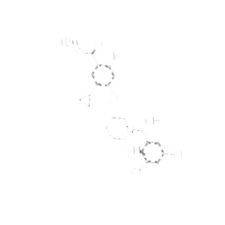 C[C@@H]1CC[C@H](COc2cc(F)c(C(=O)OC(C)(C)C)cc2C2CC2)CN1[C@H](C)c1cc(Cl)cc(Cl)c1